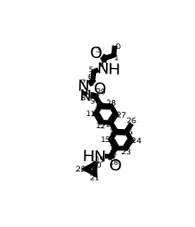 CCC(=O)NCc1nnc(-c2ccc(-c3cc(C(=O)NC4CC4)ccc3C)cc2)o1